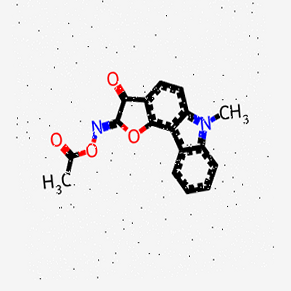 CC(=O)O/N=C1\Oc2c(ccc3c2c2ccccc2n3C)C1=O